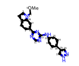 COCn1[c]cc2ccc(-c3ncnc(Nc4ccc(-c5cn[nH]c5)cc4)n3)cc21